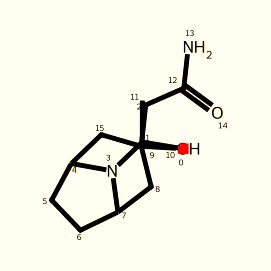 CC(C)N1C2CCC1CC(O)(CC(N)=O)C2